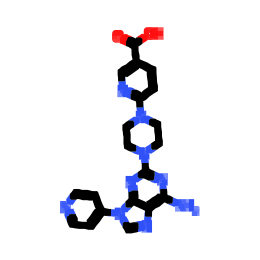 Nc1nc(N2CCN(c3ccc(C(=O)O)cn3)CC2)nc2c1ncn2-c1ccncc1